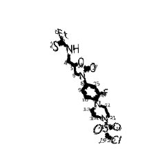 CCC(=S)NCC1CN(c2ccc(N3CCN(S(=O)(=O)CCl)CC3)c(F)c2)C(=O)O1